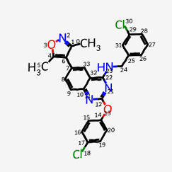 Cc1noc(C)c1-c1ccc2nc(Oc3ccc(Cl)cc3)nc(NCc3cccc(Cl)c3)c2c1